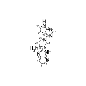 NC1(c2nc3cccnc3[nH]2)CCN(c2ncnc3[nH]ccc23)CC1